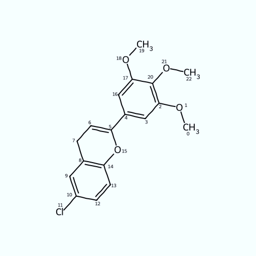 COc1cc(C2=CCc3cc(Cl)ccc3O2)cc(OC)c1OC